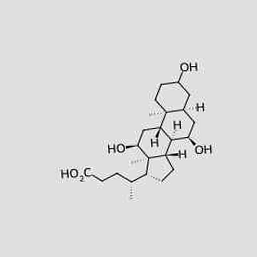 C[C@H](CCC(=O)O)[C@H]1CC[C@H]2[C@@H]3[C@H](O)C[C@@H]4CC(O)CC[C@]4(C)[C@H]3C[C@H](O)[C@]12C